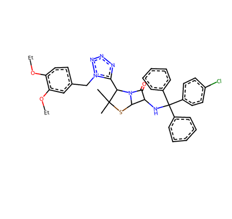 CCOc1ccc(Cn2nnnc2C2N3C(=O)C(NC(c4ccccc4)(c4ccccc4)c4ccc(Cl)cc4)C3SC2(C)C)cc1OCC